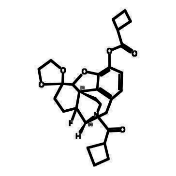 O=C(Oc1ccc2c3c1OC1C4(CCC5(F)[C@@H](C2)N(C(=O)C2CCC2)CC[C@]315)OCCO4)C1CCC1